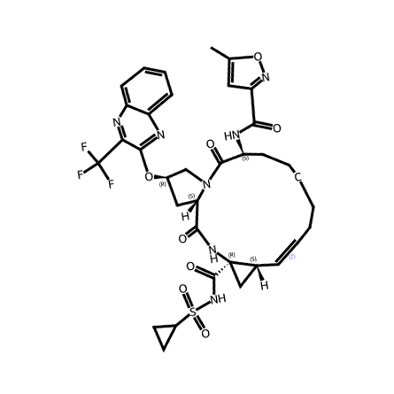 Cc1cc(C(=O)N[C@H]2CCCCC/C=C\[C@@H]3C[C@@]3(C(=O)NS(=O)(=O)C3CC3)NC(=O)[C@@H]3C[C@@H](Oc4nc5ccccc5nc4C(F)(F)F)CN3C2=O)no1